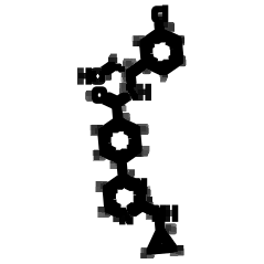 O=C(N[C@H](CO)c1cccc(Cl)c1)c1ccc(-c2ccnc(NC3CC3)n2)cc1